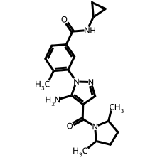 Cc1ccc(C(=O)NC2CC2)cc1-n1ncc(C(=O)N2C(C)CCC2C)c1N